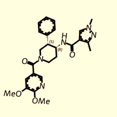 COc1cc(C(=O)N2CC[C@@H](NC(=O)c3cn(C)nc3C)[C@@H](c3ccccc3)C2)cnc1OC